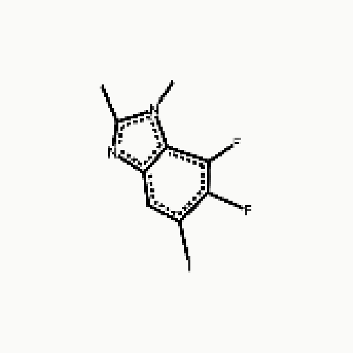 Cc1nc2cc(I)c(F)c(F)c2n1C